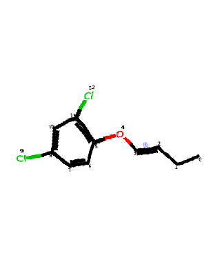 CC/C=C/Oc1ccc(Cl)cc1Cl